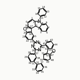 C1=CC2C(c3ccccc3N2c2ccccc2)c2c1oc1ccc(-c3nc(-c4cccc(-c5ccccc5)c4)nc(-c4cccc5oc6ccccc6c45)n3)cc21